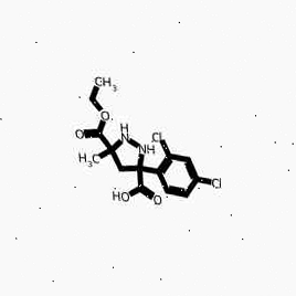 CCOC(=O)C1(C)CC(C(=O)O)(c2ccc(Cl)cc2Cl)NN1